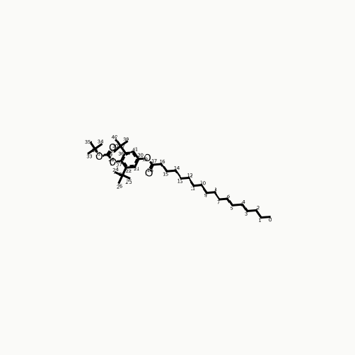 CCCCCCCCCCCCCCCCCC(=O)Oc1cc(C(C)(C)C)c(OC(=O)OC(C)(C)C)c(C(C)(C)C)c1